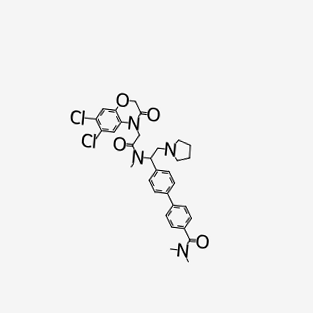 CN(C)C(=O)c1ccc(-c2ccc(C(CN3CCCC3)N(C)C(=O)CN3C(=O)COc4cc(Cl)c(Cl)cc43)cc2)cc1